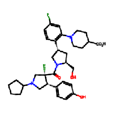 O=C(O)C1CCN(c2cc(F)ccc2[C@@H]2C[C@@H](CO)N(C(=O)[C@]3(F)CN(C4CCCC4)C[C@H]3c3ccc(O)cc3)C2)CC1